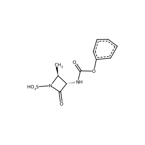 C[C@H]1[C@H](NC(=O)Oc2ccccc2)C(=O)N1S(=O)(=O)O